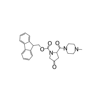 CN1CCN(C(=O)C2CC(=O)CN2C(=O)OCC2c3ccccc3-c3ccccc32)CC1